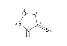 S=C1COSN1